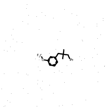 CC(C)CC(C)(C)[CH]c1cccc(OC(F)(F)F)c1